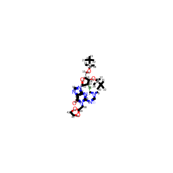 CN(C)/C=N\c1nc2c(ncn2[C@@H]2O[C@H](CO[Si](C)(C)C(C)(C)C)[C@@H](O[Si](C)(C)C(C)(C)C)[C@@H]2F)c(=O)n1CC1OCCO1